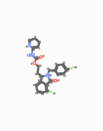 O=C(NC1=CCCC=N1)OCCC1c2cccc(F)c2C(=O)N1Cc1ccc(F)cc1